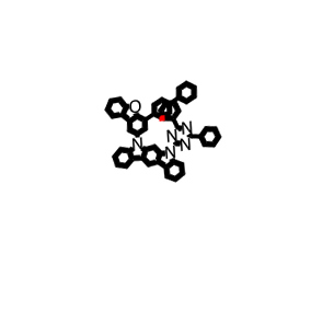 c1ccc(-c2ccc(-c3cc(-n4c5ccccc5c5cc6c7ccccc7n(-c7nc(-c8ccccc8)nc(-c8ccccc8)n7)c6cc54)cc4c3oc3ccccc34)cc2)cc1